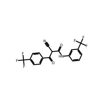 N#CC(C(=O)Nc1cccc(C(F)(F)F)c1)C(=O)c1ccc(C(F)(F)F)cc1